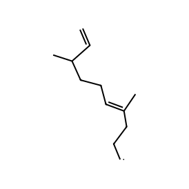 [CH2]CCC(C)=CCCC(C)C=C